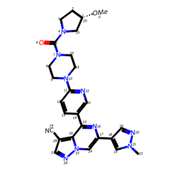 CO[C@H]1CCN(C(=O)N2CCN(c3ccc(-c4nc(-c5cnn(C)c5)cn5ncc(C#N)c45)cn3)CC2)C1